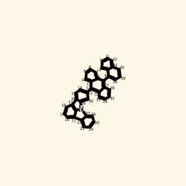 c1ccc2c(-c3c4ccccc4c(-c4ccc5c6cccc7c8ccccc8n(c5c4)c76)c4ccccc34)cccc2c1